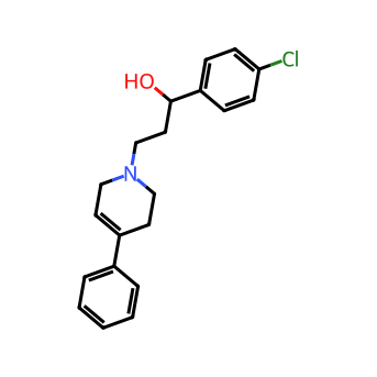 OC(CCN1CC=C(c2ccccc2)CC1)c1ccc(Cl)cc1